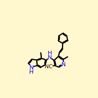 Cc1ncc(C#N)c(Nc2ccc3[nH]ccc3c2C)c1C=Cc1ccccc1